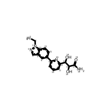 CC(C)Cn1ncc2cc(-c3cccc(C(O)C(O)C(N)=O)n3)ccc21